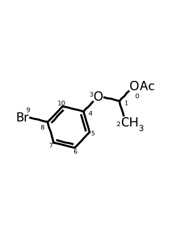 CC(=O)OC(C)Oc1cccc(Br)c1